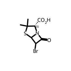 CC1(C)SC2C(Br)C(=O)N2[C@H]1C(=O)O